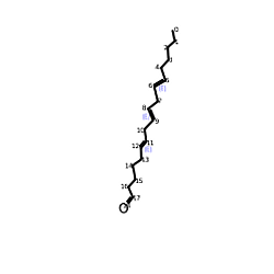 CCCCC/C=C/C/C=C/C/C=C/CCCCC=O